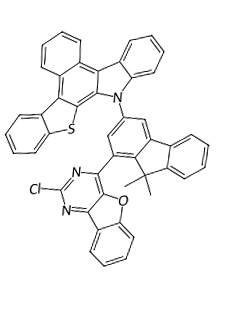 CC1(C)c2ccccc2-c2cc(-n3c4ccccc4c4c5ccccc5c5c6ccccc6sc5c43)cc(-c3nc(Cl)nc4c3oc3ccccc34)c21